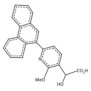 COc1nc(-c2cc3ccccc3c3ccccc23)ccc1C(O)C(=O)O